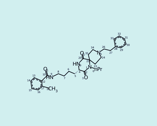 CCCN1C(=O)[C@H](CCCCNC(=O)c2ccccc2C)NC(=O)C12CCN(CCc1ccccc1)CC2